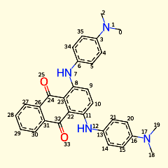 CN(C)c1ccc(Nc2ccc(Nc3ccc(N(C)C)cc3)c3c2C(=O)c2ccccc2C3=O)cc1